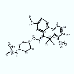 COc1ccc2c(c1)/C(=N\O[C@H]1CC[C@@H](NB(C)O)CC1)C(C)(C)c1c(N)ncnc1-2